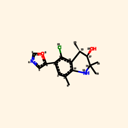 Cc1cc(-c2cnco2)c(Cl)c2c1NC(C)(C)[C@H](O)[C@H]2C